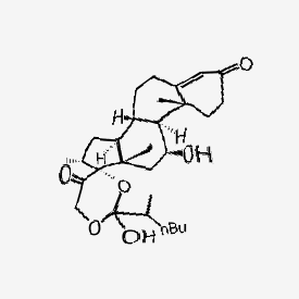 CCCCC(C)C1(O)OCC(=O)[C@@]2(O1)[C@H](C)C[C@H]1[C@@H]3CCC4=CC(=O)CC[C@]4(C)[C@H]3[C@@H](O)C[C@@]12C